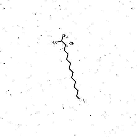 CCCCCCCCCCCC[C@@H](O)C(C)C